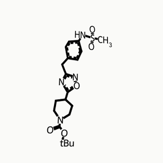 CC(C)(C)OC(=O)N1CCC(c2nc(Cc3ccc(NS(C)(=O)=O)cc3)no2)CC1